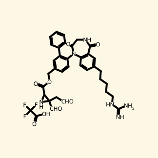 N=C(N)NCCCCCc1ccc2c(c1)C(=O)NCC(=O)N2c1ccc(COC(=O)C2NC2(C=O)CC=O)cc1-c1ccccc1.O=C(O)C(F)(F)F